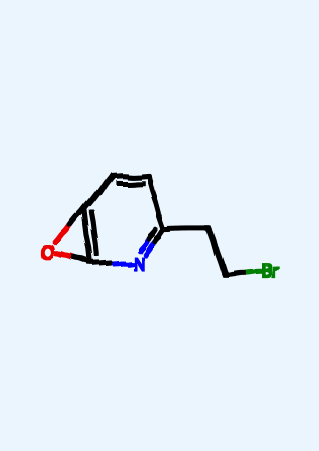 BrCCc1ccc2c(n1)O2